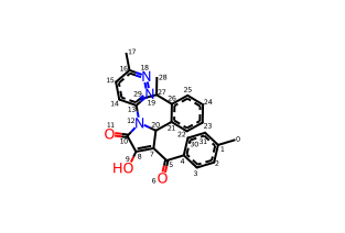 Cc1ccc(C(=O)C2=C(O)C(=O)N(c3ccc(C)nn3)C2c2ccccc2C(C)C)cc1